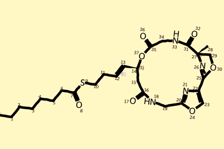 CCCCCCCC(=O)SCC/C=C/[C@@H]1CC(=O)NCc2nc(co2)C2=N[C@@](C)(CO2)C(=O)NCC(=O)O1